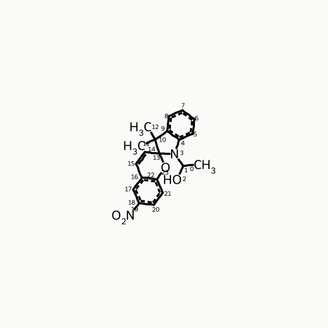 CC(O)N1c2ccccc2C(C)(C)C12C=Cc1cc([N+](=O)[O-])ccc1O2